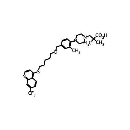 Cc1cc(COCCCCCSc2ccnc3cc(C(F)(F)F)ccc23)ccc1N1CCN(CC(C)(C)C(=O)O)CC1